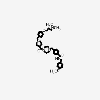 COc1ccc(CNC(=O)c2ccc(CN3CCCN(C(=O)C4CCN(Cc5ccc(OCCCN(C)C)cc5)CC4)CC3)cc2)cc1